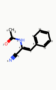 CC(=O)NC(C#N)=Cc1ccccc1